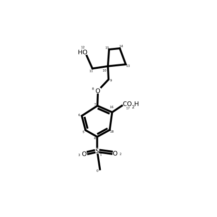 CS(=O)(=O)c1ccc(OCC2(CO)CCC2)c(C(=O)O)c1